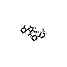 Cc1ccccc1-c1n[nH]c(N)c1C(=O)c1cccc(-c2ccc[n+]([O-])c2)c1